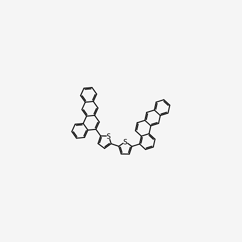 c1ccc2cc3c(ccc4c(-c5ccc(-c6ccc(-c7cc8cc9ccccc9cc8c8ccccc78)s6)s5)cccc43)cc2c1